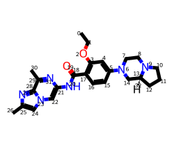 CCOc1cc(N2CCN3CCC[C@H]3C2)ccc1C(=O)Nc1cn2cc(C)nc2c(C)n1